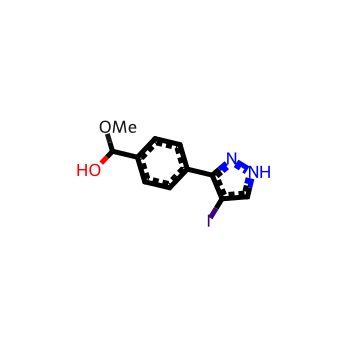 COC(O)c1ccc(-c2n[nH]cc2I)cc1